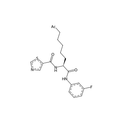 CC(=O)CCCCC[C@H](NC(=O)c1cncs1)C(=O)Nc1cccc(F)c1